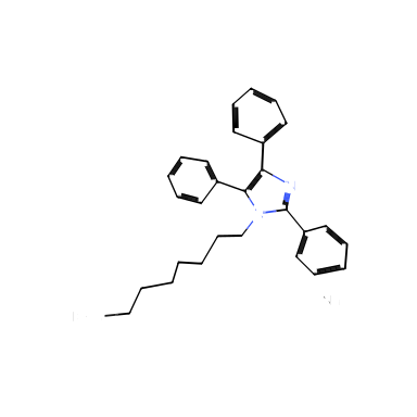 O=S(=O)(O)CCCCCCCn1c(-c2ccccc2)nc(-c2ccccc2)c1-c1ccccc1.[NaH]